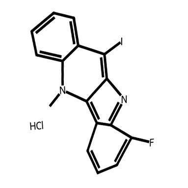 Cl.Cn1c2c3cccc(F)c3nc-2c(I)c2ccccc21